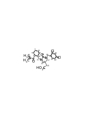 CN(C)C(=O)c1ccccc1CN1CC(CC(=O)O)CN(Cc2ccc(Cl)cc2Cl)C1=O